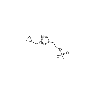 CS(=O)(=O)OCCc1cnn(CC2CC2)c1